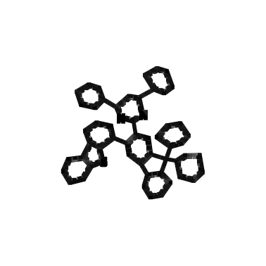 c1ccc(-c2cc(-c3ccccc3)nc(-c3cc4c(cc3-c3cccc5c3sc3ccccc35)-c3ccccc3C4(c3ccccc3)c3ccccc3)n2)cc1